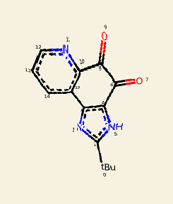 CC(C)(C)c1nc2c([nH]1)C(=O)C(=O)c1ncccc1-2